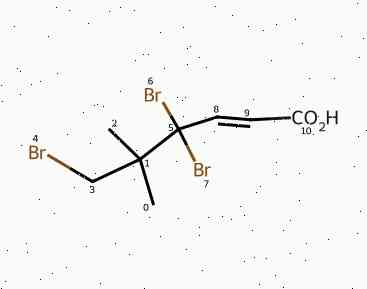 CC(C)(CBr)C(Br)(Br)C=CC(=O)O